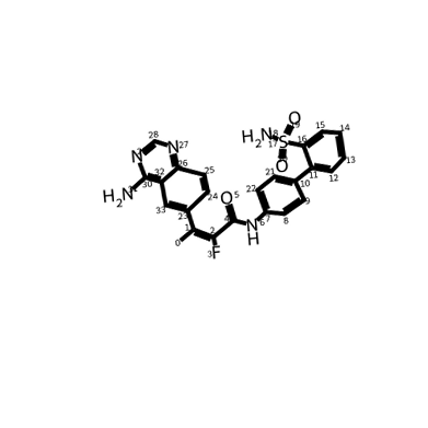 C/C(=C(\F)C(=O)Nc1ccc(-c2ccccc2S(N)(=O)=O)cc1)c1ccc2ncnc(N)c2c1